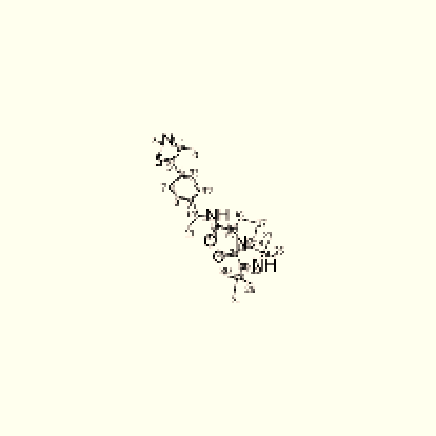 Cc1ncsc1-c1ccc(C(C)NC(=O)[C@H]2CCCN2C(=O)[C@H](NC(C)(C)C)C(C)(C)C)cc1